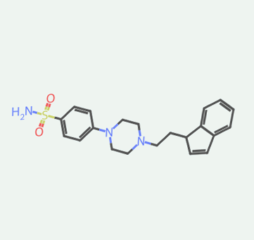 NS(=O)(=O)c1ccc(N2CCN(CCC3C=Cc4ccccc43)CC2)cc1